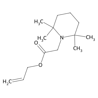 C=CCOC(=O)CN1C(C)(C)CCCC1(C)C